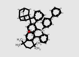 CC1(C)CCC(C)(C)c2c(-c3ccccc3N(c3ccc(-c4ccccc4)cc3)c3cccc4c3-c3ccccc3C43C4CC5CC6CC3[C@@]64C5)cccc21